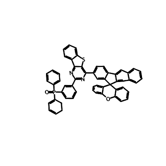 O=P(C1=CC=CCC1)(c1ccccc1)c1cccc(-c2nc(-c3ccc4c(c3)C3(c5ccccc5Oc5ccccc53)c3cc5ccccc5cc3-4)c3sc4ccccc4c3n2)c1